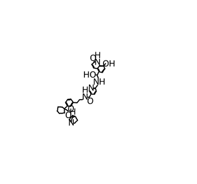 O=C(NCCCc1cccc(C2(C(=O)O[C@H]3CN4CCC3CC4)CCCCC2)c1)c1ccc(CNCC(O)c2ccc(O)c3[nH]c(=O)ccc23)nc1